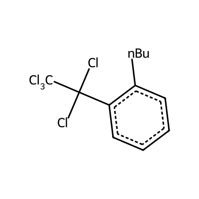 [CH2]CCCc1ccccc1C(Cl)(Cl)C(Cl)(Cl)Cl